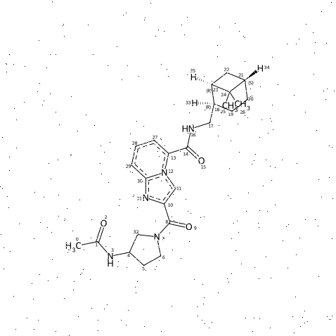 CC(=O)NC1CCN(C(=O)c2cn3c(C(=O)NC[C@@H]4CC[C@H]5C[C@H]4C5(C)C)cccc3n2)C1